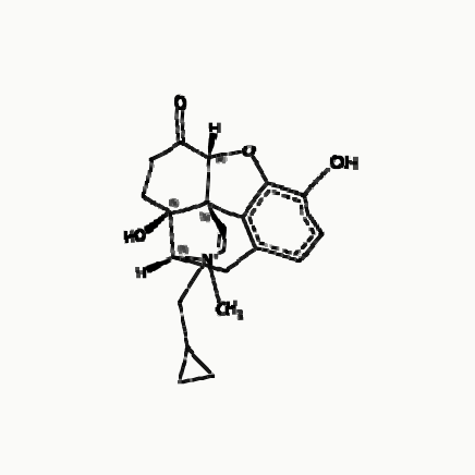 C[N+]1(CC2CC2)C=C[C@]23c4c5ccc(O)c4O[C@H]2C(=O)CC[C@@]3(O)[C@H]1C5